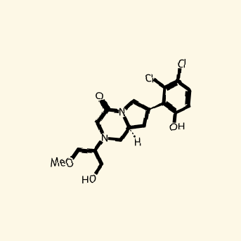 COCC(CO)N1CC(=O)N2C[C@@H](c3c(O)ccc(Cl)c3Cl)C[C@H]2C1